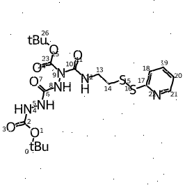 CC(C)(C)OC(=O)NNC(=O)NN(C(=O)NCCSSc1ccccn1)C(=O)OC(C)(C)C